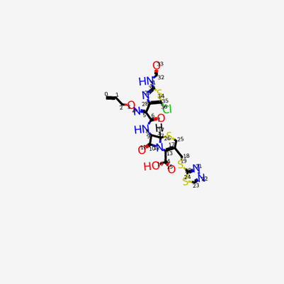 C=CCON=C(C(=O)NC1C(=O)N2C(C(=O)O)=C(CSc3nncs3)CS[C@@H]12)c1nc(NC=O)sc1Cl